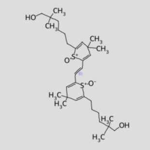 CC1(C)C=C(/C=C/C2=CC(C)(C)C=C(CCCCC(C)(C)CO)[S+]2[O-])[S+]([O-])C(CCCCC(C)(C)CO)=C1